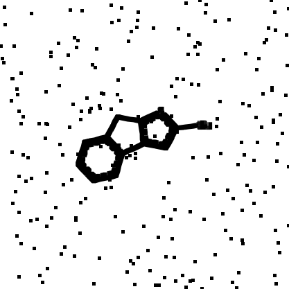 CC(C)(C)c1cc2c(s1)Cc1ccccc1-2